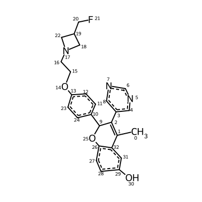 CC1=C(c2cncnc2)C(c2ccc(OCCN3CC(CF)C3)cc2)Oc2ccc(O)cc21